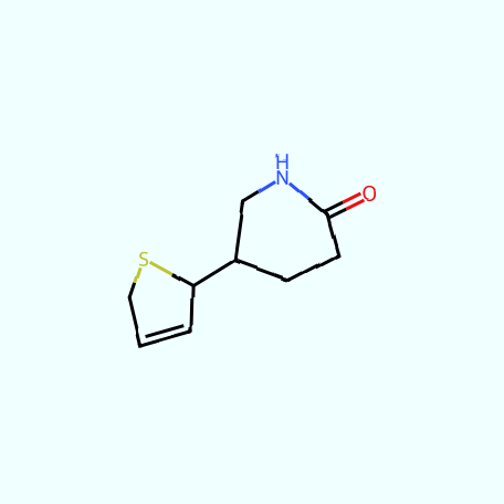 O=C1CCC(C2C=CCS2)CN1